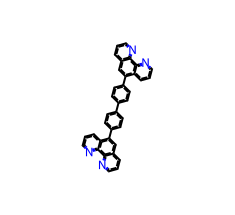 c1cnc2c(c1)cc(-c1ccc(-c3ccc(-c4cc5cccnc5c5ncccc45)cc3)cc1)c1cccnc12